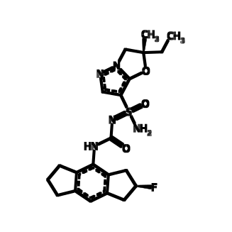 CC[C@@]1(C)Cn2ncc(S(N)(=O)=NC(=O)Nc3c4c(cc5c3C[C@@H](F)C5)CCC4)c2O1